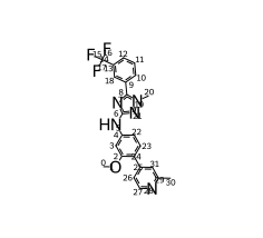 COc1cc(Nc2nc(-c3cccc(C(F)(F)F)c3)n(C)n2)ccc1-c1ccnc(C)c1